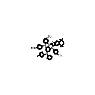 Cc1ccc(N(c2ccccc2)c2cc3c4c(c2)N(c2ccc(C(C)(C)C)cc2)c2c(sc5cc6c(cc25)C(C)(C)CCC6(C)C)B4c2cc(C(C)(C)C)ccc2N3c2ccc(C(C)(C)C)cc2)cc1